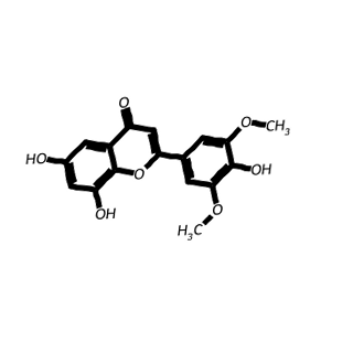 COc1cc(-c2cc(=O)c3cc(O)cc(O)c3o2)cc(OC)c1O